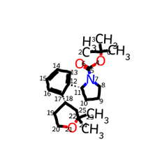 CC(C)(C)OC(=O)N1CCC[C@@H]1c1ccccc1[C@H]1CCOC(C)(C)C1